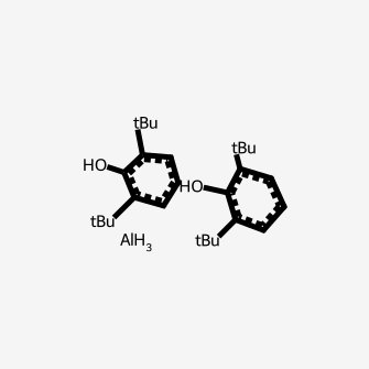 CC(C)(C)c1cccc(C(C)(C)C)c1O.CC(C)(C)c1cccc(C(C)(C)C)c1O.[AlH3]